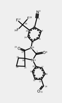 N#Cc1ccc(N2C(=O)N(c3ccc(C=O)cc3)C3(CCC3)C2=O)cc1C(F)(F)F